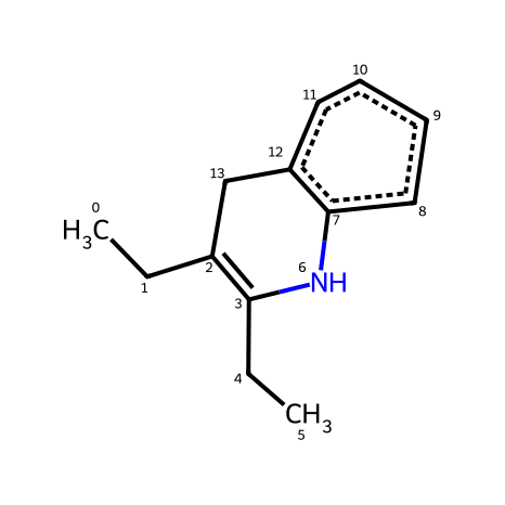 CCC1=C(CC)Nc2ccccc2C1